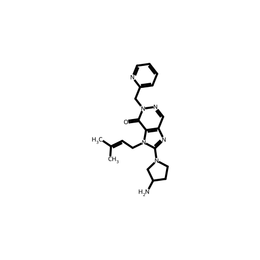 CC(C)=CCn1c(N2CCC(N)C2)nc2cnn(Cc3ccccn3)c(=O)c21